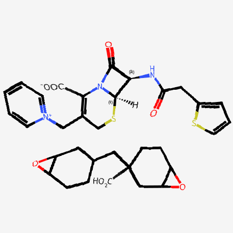 O=C(Cc1cccs1)N[C@@H]1C(=O)N2C(C(=O)[O-])=C(C[n+]3ccccc3)CS[C@H]12.O=C(O)C1(CC2CCC3OC3C2)CCC2OC2C1